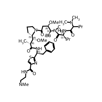 CC[C@H](C)[C@@H]([C@@H](CC(=O)N1CCC[C@H]1[C@H](OC)[C@@H](C)C(=O)N[C@@H](Cc1ccccc1)c1nc(C(=O)NCCNC)cs1)OC)N(C)C(=O)[C@@H](NC(=O)C(C(C)C)N(C)C)C(C)C